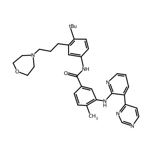 Cc1ccc(C(=O)Nc2ccc(C(C)(C)C)c(CCCN3CCOCC3)c2)cc1Nc1ncccc1-c1ccncn1